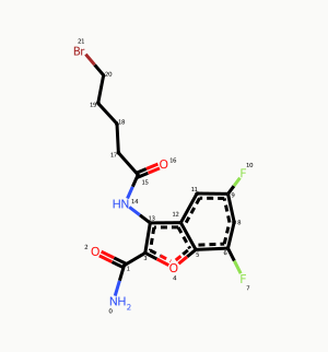 NC(=O)c1oc2c(F)cc(F)cc2c1NC(=O)CCCCBr